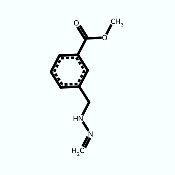 C=NNCc1cccc(C(=O)OC)c1